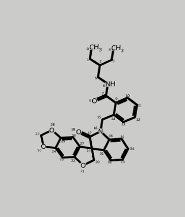 CCC(CC)CNC(=O)c1ccccc1CN1C(=O)C2(COc3cc4c(cc32)OCO4)c2ccccc21